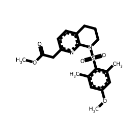 COC(=O)Cc1ccc2c(n1)N(S(=O)(=O)c1c(C)cc(OC)cc1C)CCC2